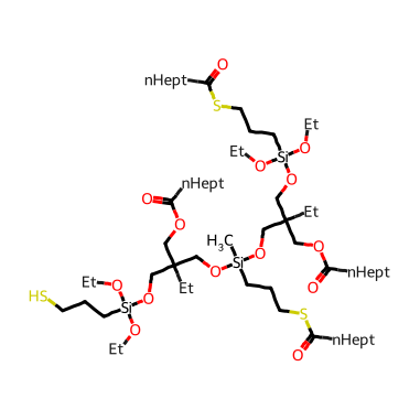 CCCCCCCC(=O)OCC(CC)(CO[Si](C)(CCCSC(=O)CCCCCCC)OCC(CC)(COC(=O)CCCCCCC)CO[Si](CCCSC(=O)CCCCCCC)(OCC)OCC)CO[Si](CCCS)(OCC)OCC